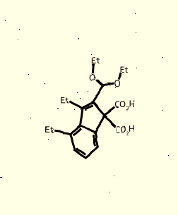 CCOC(OCC)C1=C(CC)c2c(CC)cccc2C1(C(=O)O)C(=O)O